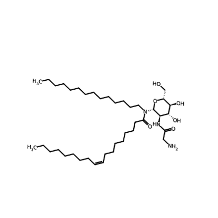 CCCCCCCC/C=C\CCCCCCCC(=O)N(CCCCCCCCCCCCCC)[C@@H]1O[C@H](CO)[C@@H](O)[C@H](O)[C@H]1NC(=O)CN